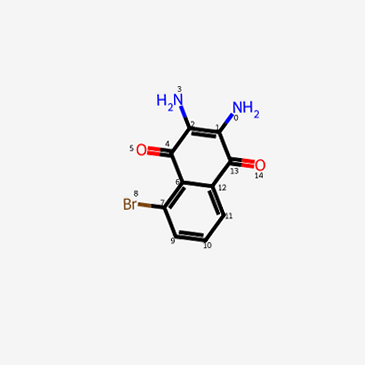 NC1=C(N)C(=O)c2c(Br)cccc2C1=O